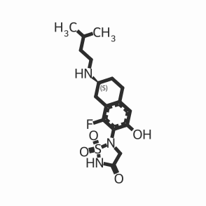 CC(C)CCN[C@H]1CCc2cc(O)c(N3CC(=O)NS3(=O)=O)c(F)c2C1